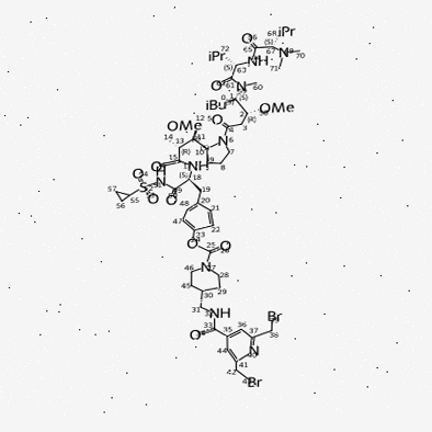 CC[C@H](C)[C@@H]([C@@H](CC(=O)N1CCC[C@H]1[C@H](OC)[C@@H](C)C(=O)N[C@@H](Cc1ccc(OC(=O)N2CCC(CNC(=O)c3cc(CBr)nc(CBr)c3)CC2)cc1)C(=O)NS(=O)(=O)C1CC1)OC)N(C)C(=O)[C@@H](NC(=O)[C@H](C(C)C)N(C)C)C(C)C